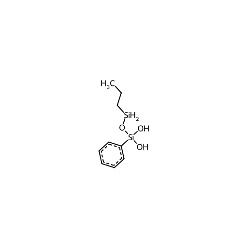 CCC[SiH2]O[Si](O)(O)c1ccccc1